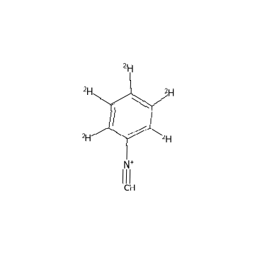 [2H]c1c([2H])c([2H])c([N+]#C)c([2H])c1[2H]